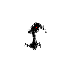 COc1cccc(Nc2c(C(N)=O)cnc3c(C)cc(S(=O)(=O)c4cccc(C(=O)Nc5ccc(-c6ccc(CCCCNCC(O)c7ccc(O)c8c7OCC(=O)N8)cc6)cc5)c4)cc23)c1